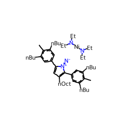 CCCCCCCCC1=C(c2cc(CCCC)c(C)c(CCCC)c2)[N+](=[N-])C(c2cc(CCCC)c(C)c(CCCC)c2)=C1.CC[N](CC)[Ni][N](CC)CC